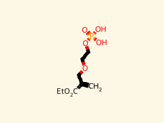 C=C(COCCOP(=O)(O)O)C(=O)OCC